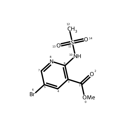 COC(=O)c1cc(Br)cnc1NS(C)(=O)=O